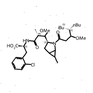 CCCC[C@H](C(CC(=O)N1C2C(C)C2C[C@H]1C(OC)[C@@H](C)C(=O)N[C@@H](Cc1ccccc1Cl)C(=O)O)OC)[C@@H](C)CC